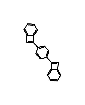 C1=C(c2ccc(C3=Cc4ccccc43)cc2)c2ccccc21